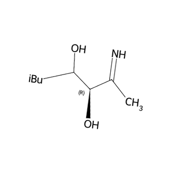 CCC(C)C(O)[C@H](O)C(C)=N